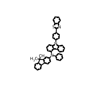 CC1(C)c2ccccc2-c2ccc(N(c3ccccc3)c3cccc4c3c3ccccc3n4-c3ccc(-c4nc5ccccc5s4)cc3)cc21